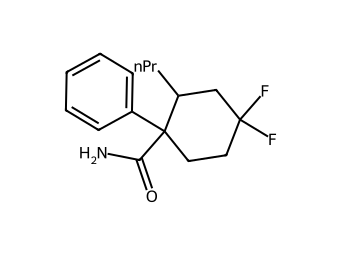 CCCC1CC(F)(F)CCC1(C(N)=O)c1ccccc1